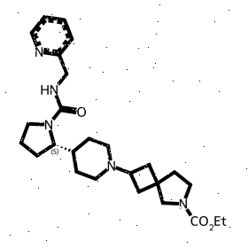 CCOC(=O)N1CCC2(CC(N3CCC([C@@H]4CCCN4C(=O)NCc4ccccn4)CC3)C2)C1